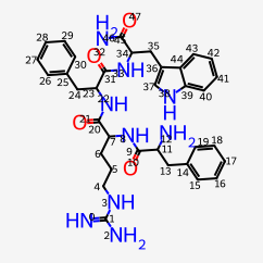 N=C(N)NCCCC(NC(=O)C(N)Cc1ccccc1)C(=O)NC(Cc1ccccc1)C(=O)NC(Cc1c[nH]c2ccccc12)C(N)=O